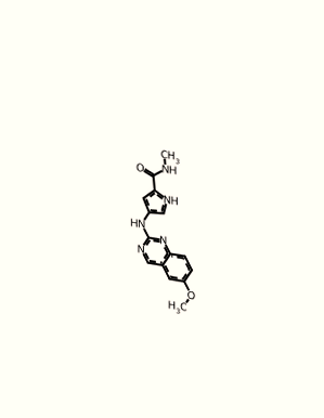 CNC(=O)c1cc(Nc2ncc3cc(OC)ccc3n2)c[nH]1